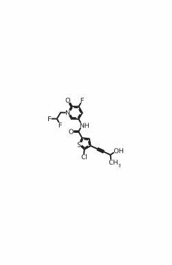 CC(O)C#Cc1cc(C(=O)Nc2cc(F)c(=O)n(CC(F)F)c2)sc1Cl